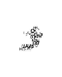 CCOC(=O)C1=C(CN2CC(F)(F)[C@@H]3C(=O)N(c4ccn(CCC(C)(C)C(=O)O)n4)C[C@@H]32)NC(c2nccs2)=N[C@H]1c1cccc(F)c1C